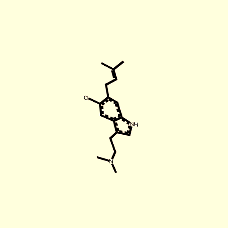 CC(C)=CCc1cc2[nH]cc(CCN(C)C)c2cc1Cl